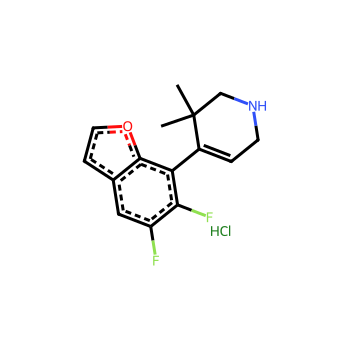 CC1(C)CNCC=C1c1c(F)c(F)cc2ccoc12.Cl